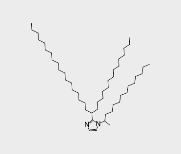 CCCCCCCCCCCCCCCCCCC(CCCCCCCCCCCCCC)c1nccn1C(C)CCCCCCCCCCCC